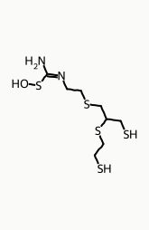 NC(=NCCSCC(CS)SCCS)SO